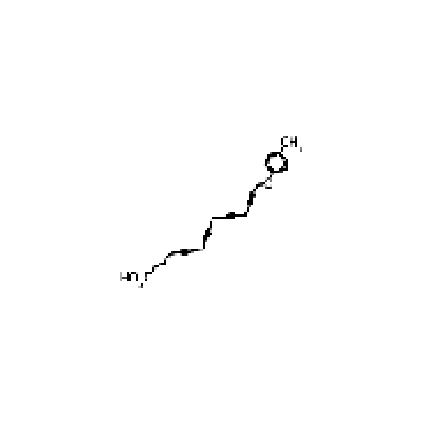 Cc1ccc(OCC#CCC#CCC#CCC#CCCCC(=O)O)cc1